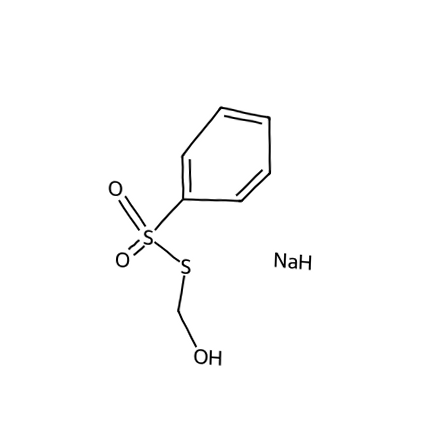 O=S(=O)(SCO)c1ccccc1.[NaH]